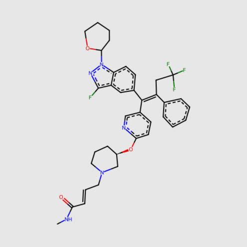 CNC(=O)/C=C/CN1CCC[C@@H](Oc2ccc(/C(=C(/CC(F)(F)F)c3ccccc3)c3ccc4c(c3)c(F)nn4C3CCCCO3)cn2)C1